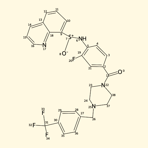 O=C(c1ccc(N[S+]([O-])c2cccc3cccnc23)c(F)c1)N1CCN(Cc2ccc(C(F)(F)F)cc2)CC1